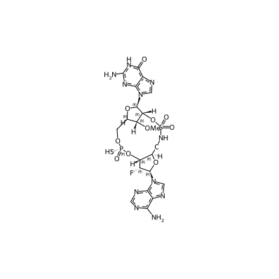 CO[C@H]1[C@H]2OS(=O)(=O)NC[C@H]3O[C@@H](n4cnc5c(N)ncnc54)[C@H](F)[C@@H]3O[P@](=O)(S)OC[C@H]1O[C@H]2n1cnc2c(=O)[nH]c(N)nc21